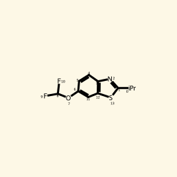 CC(C)c1nc2ccc(OC(F)F)cc2s1